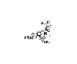 CCCCOC(=O)Oc1ccc(C[C@H](N)C(=O)O[C@@H](C)C(C)OC(=O)C(C)CC)cc1OC(=O)OCCCC